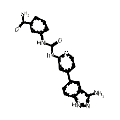 NC(=O)c1cccc(NC(=O)Nc2cc(-c3ccc4[nH]nc(N)c4c3)ccn2)c1